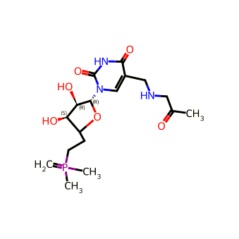 C=P(C)(C)CCC1O[C@@H](n2cc(CNCC(C)=O)c(=O)[nH]c2=O)[C@H](O)[C@@H]1O